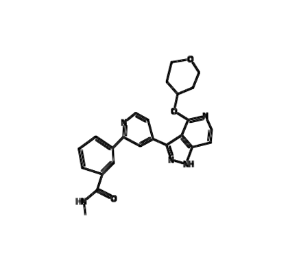 CNC(=O)c1cccc(-c2cc(-c3n[nH]c4ccnc(OC5CCOCC5)c34)ccn2)c1